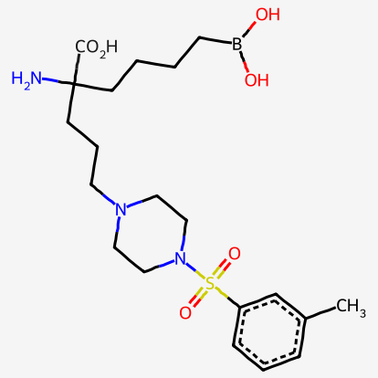 Cc1cccc(S(=O)(=O)N2CCN(CCCC(N)(CCCCB(O)O)C(=O)O)CC2)c1